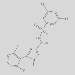 Cn1cc(C(=O)NS(=O)(=O)c2cc(Cl)cc(Cl)c2)nc1-c1c(F)cccc1F